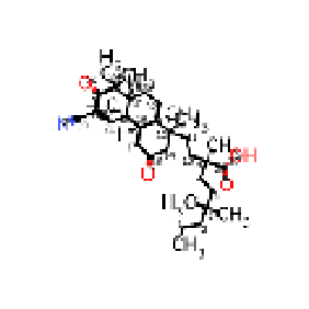 CCCC(C)(C)CC[C@@](C)(CC[C@]1(C)CC(=O)C[C@@H]2[C@@]3(C)C=C(C#N)C(=O)C(C)(C)[C@@H]3CC[C@]21C)C(=O)O